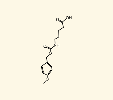 COc1ccc(COC(=O)NCCCCC(=O)O)cc1